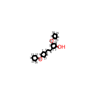 Oc1cc(C=Cc2ccc(Oc3ccccc3)cc2)cc(Oc2ccccc2)c1